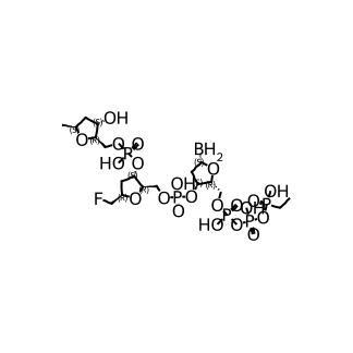 B[C@H]1C[C@H](OP(=O)(O)OC[C@H]2O[C@@H](CF)C[C@@H]2OP(=O)(O)OC[C@H]2O[C@@H](C)C[C@@H]2O)[C@@H](COP(=O)(O)OP(=O)(O)OP(=O)(O)CC)O1